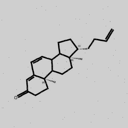 C=CCC[C@H]1CCC2C3C=CC4=CC(=O)CC[C@]4(C)C3CC[C@@]21C